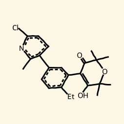 CCc1ccc(-c2ccc(Cl)nc2C)cc1C1=C(O)C(C)(C)OC(C)(C)C1=O